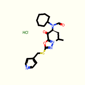 CC(C)C[C@@H](C(=O)c1nnc(SCc2ccncc2)o1)N(C=O)C1CCCCCC1.Cl